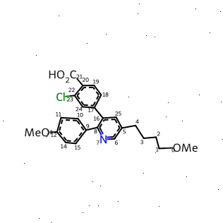 COCCCCc1cnc(-c2ccc(OC)cc2)c(-c2ccc(C(=O)O)c(Cl)c2)c1